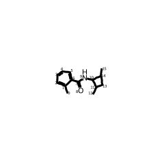 Cc1ccccc1C(=O)NC1C(C)CC1C